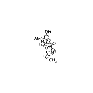 COc1cc(O)cc(CN2C(=O)N(c3cnn(Cc4c(C)noc4C)c3)C(=O)C2(C)C)c1